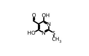 CSc1nc(O)c(C=O)c(O)n1